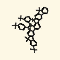 CC(C)(C)c1ccc(N2B3c4cc(C(C)(C)C)ccc4-n4c5cc6c(cc5c5ccc(c3c54)-c3cc4c(cc32)C(C)(C)c2cc(C(C)(C)C)ccc2-4)-c2ccccc2C6(C)C)cc1